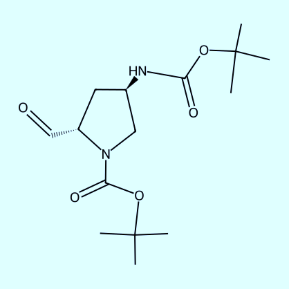 CC(C)(C)OC(=O)N[C@@H]1C[C@@H](C=O)N(C(=O)OC(C)(C)C)C1